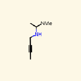 CC#CCNC(C)NC